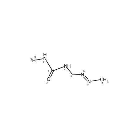 [2H]NC(=O)NCN=NC